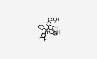 Cc1c2[nH]ncc2cc2c1c(C1=CCC(C(=O)O)CC1)c(C1CCOCC1)n2-c1ccc(F)c(F)c1